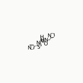 O=C(NCc1ccccn1)Nc1csc(-c2ccncc2)n1